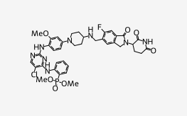 COc1cc(N2CCC(NCc3cc4c(cc3F)C(=O)N(C3CCC(=O)NC3=O)C4)CC2)ccc1Nc1ncc(Cl)c(Nc2ccccc2P(=O)(OC)OC)n1